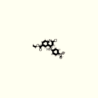 CCOC(=O)c1ccc2nc(Cl)cc(Nc3ccc([N+](=O)[O-])cc3)c2c1